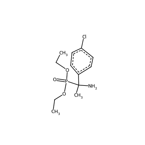 CCOP(=O)(OCC)C(C)(N)c1ccc(Cl)cc1